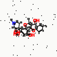 Cc1cccc(C(O)c2c(C)oc3c(C4CCN(C)CC4O)c(O)cc(O)c3c2=O)c1